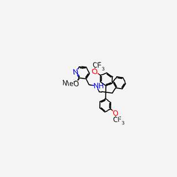 COc1ncccc1CNCC(Cc1ccccc1)(c1cccc(OC(F)(F)F)c1)c1cccc(OC(F)(F)F)c1